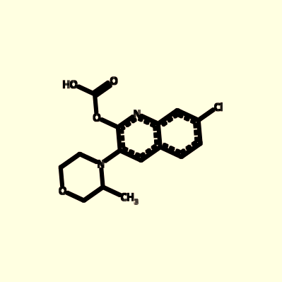 CC1COCCN1c1cc2ccc(Cl)cc2nc1OC(=O)O